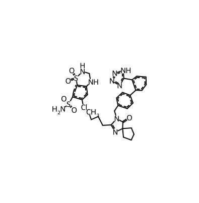 CCCCC1=NC2(CCCC2)C(=O)N1Cc1ccc(-c2ccccc2-c2nnn[nH]2)cc1.NS(=O)(=O)c1cc2c(cc1Cl)NCNS2(=O)=O